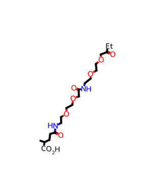 CCC(=O)COCCOCCNC(=O)COCCOCCNC(=O)CCC(C)C(=O)O